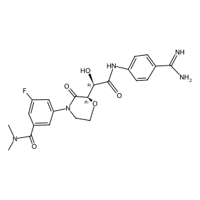 CN(C)C(=O)c1cc(F)cc(N2CCO[C@H]([C@@H](O)C(=O)Nc3ccc(C(=N)N)cc3)C2=O)c1